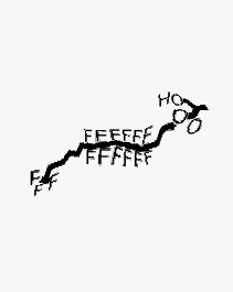 C=C(CO)C(=O)OCCCC(F)(F)C(F)(F)C(F)(F)C(F)(F)C(F)(F)C(F)(F)CCCCCC(F)(F)F